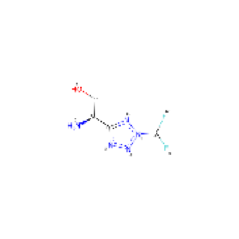 N[C@@H](CO)c1nnn(C(F)F)n1